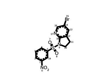 O=[N+]([O-])c1cccc(S(=O)(=O)N2CCc3cc(Br)cnc32)c1